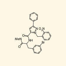 CNC(=O)C(Cc1cccc(Br)c1)NC(=O)c1cc(-c2ccccc2)nn1Cc1ccccc1[N+](=O)[O-]